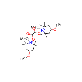 CCCOC1CC(C)(C)[N+](OC)(OC(=O)C(=O)O[N+]2(OC)C(C)(C)CC(OCCC)CC2(C)C)C(C)(C)C1